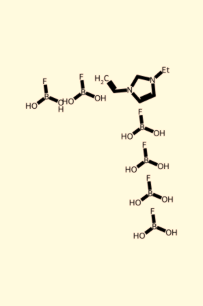 C=CN1C=CN(CC)C1.OB(O)F.OB(O)F.OB(O)F.OB(O)F.OB(O)F.OB(O)F